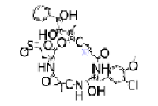 COc1ccc(C[C@H]2NC(=O)/C=C/C[C@@H]([C@H](C)[C@@H](O)[C@H](O)c3ccccc3)OC(=O)[C@H](CC[S+](C)[O-])NC(=O)C(C)(C)CNC2O)cc1Cl